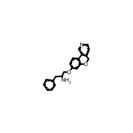 NC(COc1ccc2c(c1)OCc1ccncc1-2)Cc1ccccc1